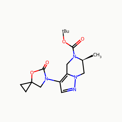 C[C@H]1Cn2ncc(N3CC4(CC4)OC3=O)c2CN1C(=O)OC(C)(C)C